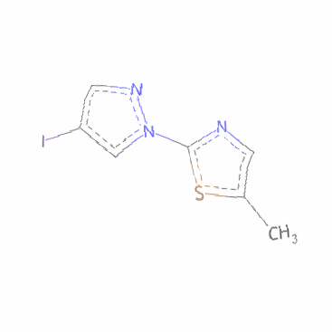 Cc1cnc(-n2cc(I)cn2)s1